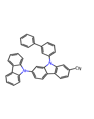 N#Cc1ccc2c3ccc(-n4c5ccccc5c5ccccc54)cc3n(-c3cccc(-c4ccccc4)c3)c2c1